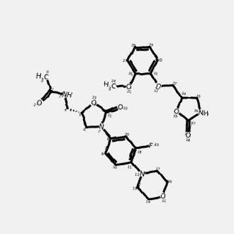 CC(=O)NC[C@H]1CN(c2ccc(N3CCOCC3)c(F)c2)C(=O)O1.COc1ccccc1OCC1CNC(=O)O1